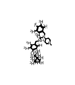 [2H]c1c([2H])c(CN(C(=O)NCc2c([2H])c([2H])c(OC([2H])([2H])C([2H])(C([2H])([2H])[2H])C([2H])([2H])[2H])c([2H])c2[2H])C2CCN(C)CC2)c([2H])c([2H])c1F